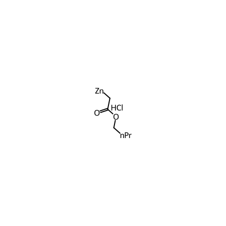 CCCCOC(=O)[CH2][Zn].Cl